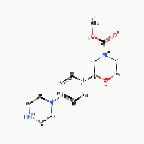 CC(C)(C)OC(=O)N1CCOC(c2ccc(N3CCNCC3)cc2)C1